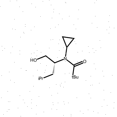 CC(C)C[C@H](CO)N(C(=O)C(C)(C)C)C1CC1